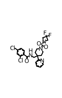 O=C(NCC1(c2ccccn2)CCN(S(=O)(=O)N2CC(F)(F)C2)CC1)c1ccc(Cl)cc1Cl